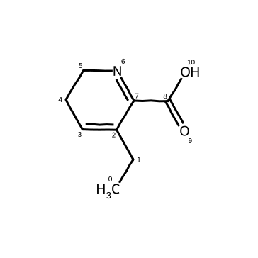 CCC1=CCCN=C1C(=O)O